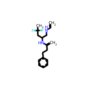 C=CNCC(CC(C)(F)F)NC(=C)CCc1ccccc1